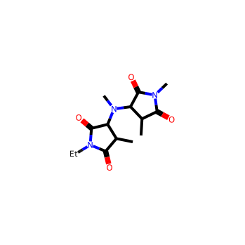 CCN1C(=O)C(C)C(N(C)C2C(=O)N(C)C(=O)C2C)C1=O